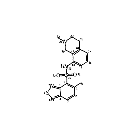 Cc1ccc2nsnc2c1S(=O)(=O)Nc1cccc2c1CN(C)CC2